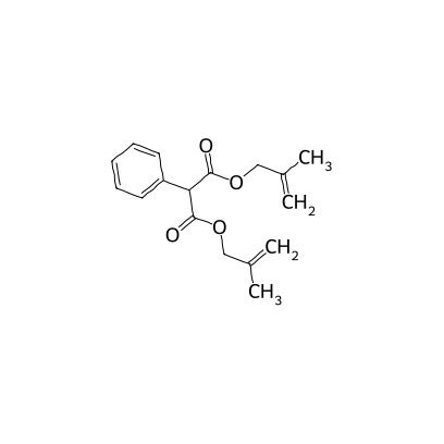 C=C(C)COC(=O)C(C(=O)OCC(=C)C)c1ccccc1